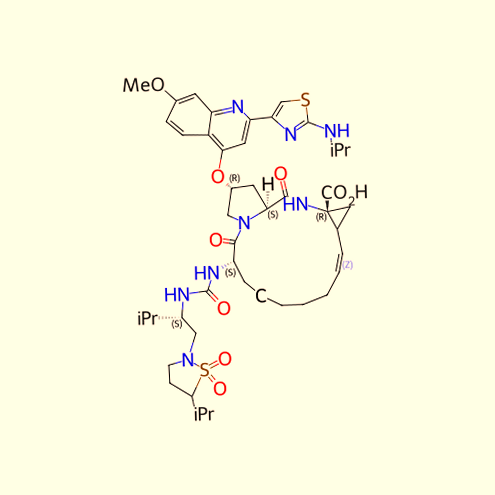 COc1ccc2c(O[C@@H]3C[C@H]4C(=O)N[C@]5(C(=O)O)CC5/C=C\CCCCC[C@H](NC(=O)N[C@H](CN5CCC(C(C)C)S5(=O)=O)C(C)C)C(=O)N4C3)cc(-c3csc(NC(C)C)n3)nc2c1